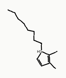 CCCCCCCC[SiH]1C=CC(C)=C1C